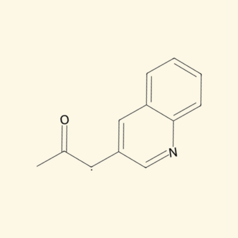 CC(=O)[CH]c1cnc2ccccc2c1